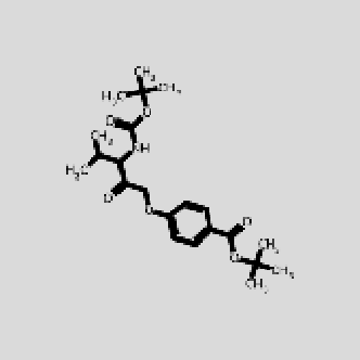 CC(C)C(NC(=O)OC(C)(C)C)C(=O)COc1ccc(C(=O)OC(C)(C)C)cc1